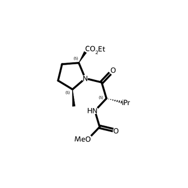 CCOC(=O)[C@@H]1CC[C@H](C)N1C(=O)[C@@H](NC(=O)OC)C(C)C